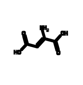 NC(=CC(=O)O)C(=O)O